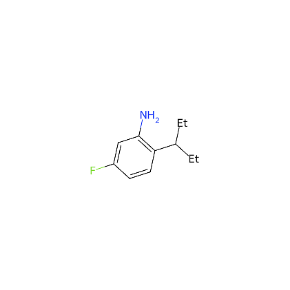 CCC(CC)c1ccc(F)cc1N